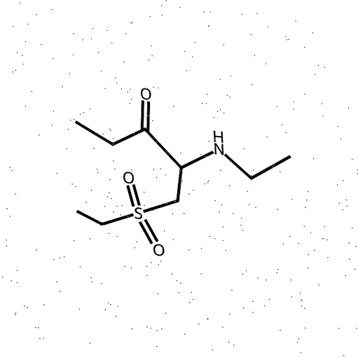 CCNC(CS(=O)(=O)CC)C(=O)CC